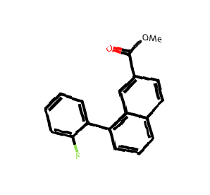 COC(=O)c1ccc2cccc(-c3ccccc3F)c2c1